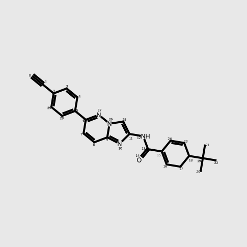 C#Cc1ccc(-c2ccc3nc(NC(=O)C4=CCC(C(C)(C)C)C=C4)cn3n2)cc1